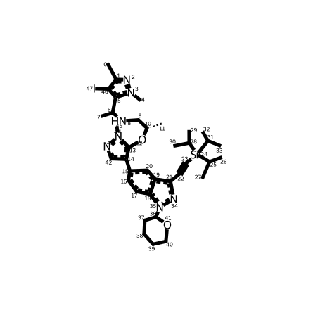 Cc1nn(C)c(C(C)NC[C@H](C)Oc2c(-c3ccc4c(c3)c(C#C[Si](C(C)C)(C(C)C)C(C)C)nn4C3CCCCO3)cnn2C)c1I